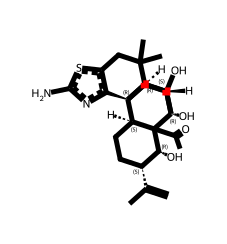 C=C(C)[C@@H]1CC[C@@H]2C(C(C)=O)([C@@H]1O)[C@@]1(O)OC[C@]23c2nc(N)sc2CC(C)(C)[C@H]3[C@@H]1O